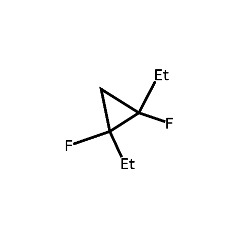 CCC1(F)CC1(F)CC